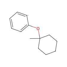 CC1(Oc2[c]cccc2)CCCCC1